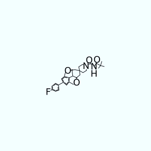 Cc1cc(-c2ccc(F)cc2)cc(C)c1C1C(=O)CC2(CCN(C(=O)NC(=O)C(C)(C)C)CC2)CC1=O